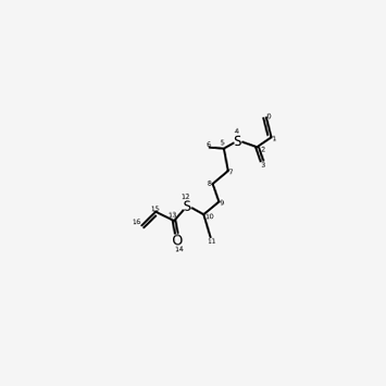 C=CC(=C)SC(C)CCCC(C)SC(=O)C=C